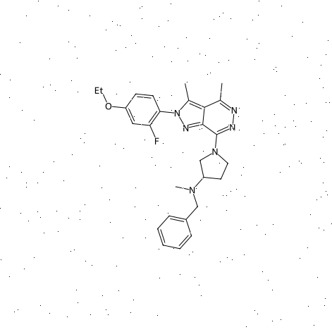 CCOc1ccc(-n2nc3c(N4CCC(N(C)Cc5ccccc5)C4)nnc(C)c3c2C)c(F)c1